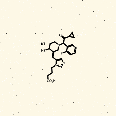 Cl.O=C(O)CCCn1nncc1/C=C1\CN(C(C(=O)C2CC2)c2ccccc2F)CCC1S